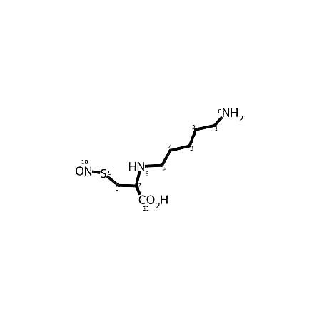 NCCCCCNC(CSN=O)C(=O)O